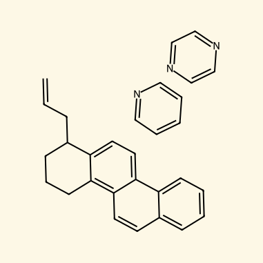 C=CCC1CCCc2c1ccc1c2ccc2ccccc21.c1ccncc1.c1cnccn1